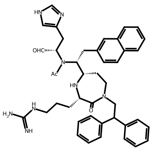 CC(=O)N([C@H](C=O)Cc1c[nH]cn1)[C@H](Cc1ccc2ccccc2c1)[C@@H]1CCN(CC(c2ccccc2)c2ccccc2)C(=O)[C@H](CCCNC(=N)N)N1